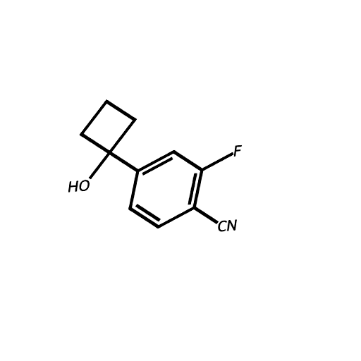 N#Cc1ccc(C2(O)CCC2)cc1F